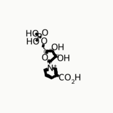 O=C(O)c1ccc[n+]([C@@H]2O[C@H](COP(=O)(O)O)[C@@H](O)[C@H]2O)c1